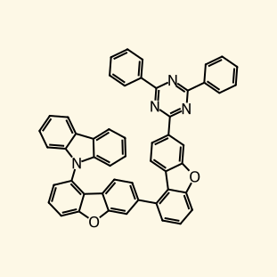 c1ccc(-c2nc(-c3ccccc3)nc(-c3ccc4c(c3)oc3cccc(-c5ccc6c(c5)oc5cccc(-n7c8ccccc8c8ccccc87)c56)c34)n2)cc1